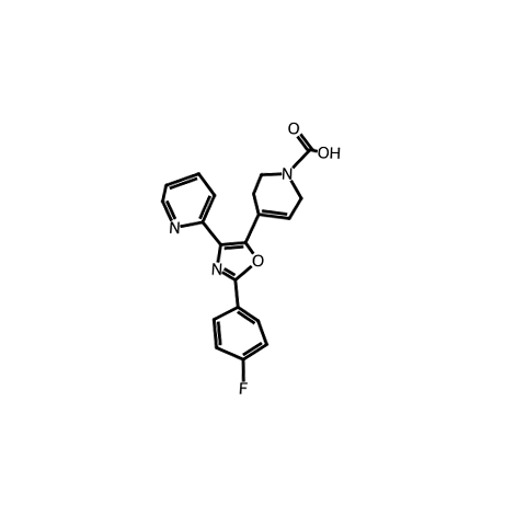 O=C(O)N1CC=C(c2oc(-c3ccc(F)cc3)nc2-c2ccccn2)CC1